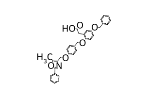 Cc1oc(-c2ccccc2)nc1COc1ccc(COc2ccc(OCc3ccccc3)cc2CC(=O)O)cc1